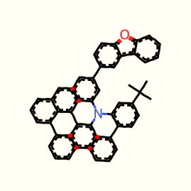 CC(C)(C)c1ccc(-c2ccccc2)c(N(c2cccc(-c3ccc4oc5ccccc5c4c3)c2)c2ccccc2-c2cccc3cccc(-c4ccccc4)c23)c1